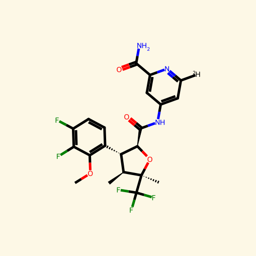 [2H]c1cc(NC(=O)[C@H]2O[C@@](C)(C(F)(F)F)[C@@H](C)[C@@H]2c2ccc(F)c(F)c2OC)cc(C(N)=O)n1